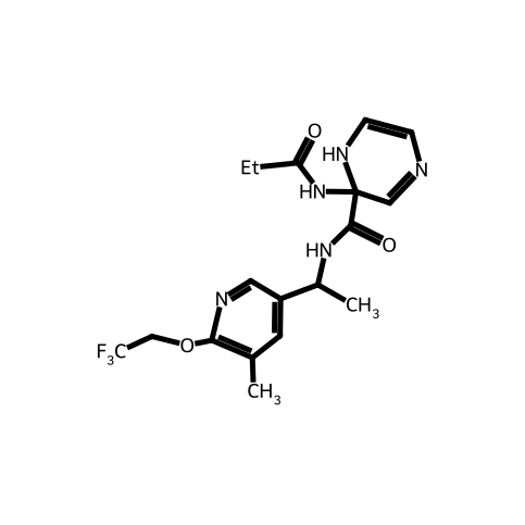 CCC(=O)NC1(C(=O)NC(C)c2cnc(OCC(F)(F)F)c(C)c2)C=NC=CN1